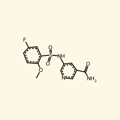 COc1ccc(F)cc1S(=O)(=O)Nc1cncc(C(N)=O)c1